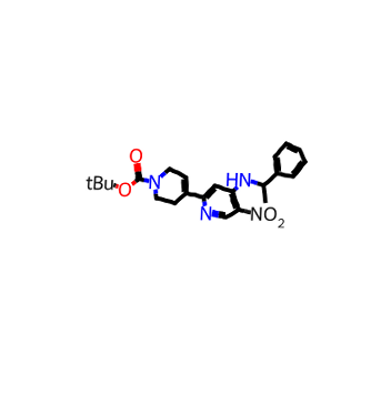 CC(Nc1cc(C2=CCN(C(=O)OC(C)(C)C)CC2)ncc1[N+](=O)[O-])c1ccccc1